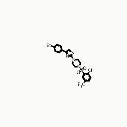 CCc1ccc(-c2csc(N3CCN(S(=O)(=O)c4cc(C(F)(F)F)ccc4Cl)CC3)n2)cc1